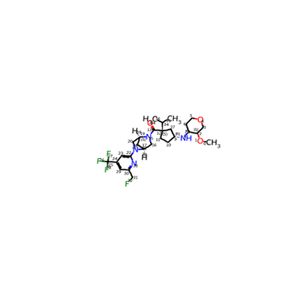 CO[C@@H]1COCC[C@@H]1N[C@@H]1CC[C@@](C(=O)N2C[C@@H]3C[C@H]2CN3c2cc(C(F)(F)F)cc(CF)n2)(C(C)C)C1